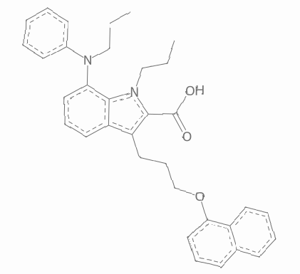 CCCN(c1ccccc1)c1cccc2c(CCCOc3cccc4ccccc34)c(C(=O)O)n(CCC)c12